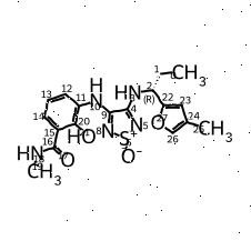 CC[C@@H](Nc1n[s+]([O-])nc1Nc1cccc(C(=O)NC)c1O)c1cc(C)co1